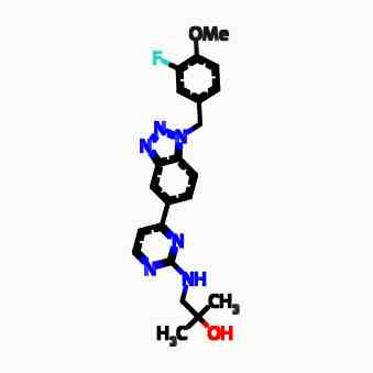 COc1ccc(Cn2nnc3cc(-c4ccnc(NCC(C)(C)O)n4)ccc32)cc1F